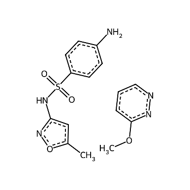 COc1cccnn1.Cc1cc(NS(=O)(=O)c2ccc(N)cc2)no1